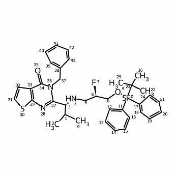 CC(C)[C@@H](NC[C@@H](F)CO[Si](c1ccccc1)(c1ccccc1)C(C)(C)C)c1nc2sccc2c(=O)n1Cc1ccccc1